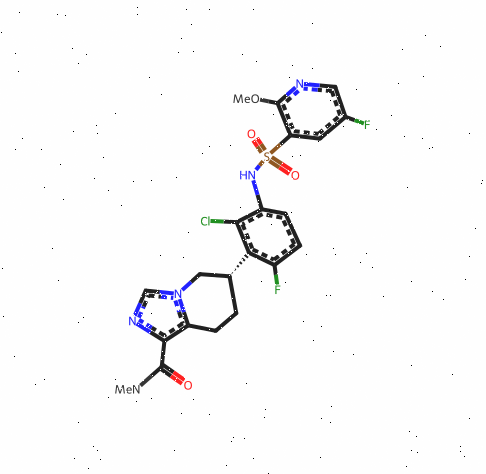 CNC(=O)c1ncn2c1CC[C@@H](c1c(F)ccc(NS(=O)(=O)c3cc(F)cnc3OC)c1Cl)C2